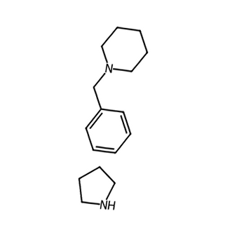 C1CCNC1.c1ccc(CN2CCCCC2)cc1